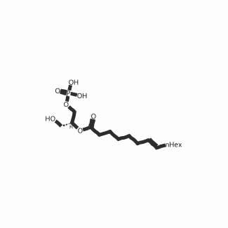 CCCCCCC=CCCCCCC(=O)O[C@H](CO)COP(=O)(O)O